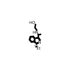 CCOc1ncc(C(C)NCCCO)c2ccccc12